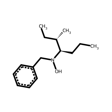 CCC[C@H]([C@@H](C)CC)N(O)Cc1ccccc1